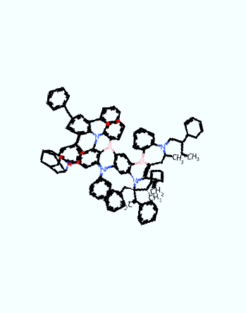 C=CC1=C2CC(C)N(CC(CC)C3C=CC=CC3)c3ccccc3B2c2cc3c(cc2N1[C@@](Cc1ccccc1)(C(=C)c1ccccc1)[C@@H](C)C1C=CC1)N(c1ccccc1)c1cc(N2C4CC5CC(C4)CC2C5)cc2c1B3c1ccccc1N2c1c(-c2ccccc2)cc(-c2ccccc2)cc1-c1ccccc1